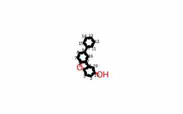 Oc1ccc2oc3ccc(-c4ccccc4)cc3c2c1